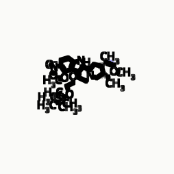 CC[C@@H]1CN2CC[C@@]3(OCCO[Si](C)(C)C(C)(C)C)C(=Nc4ccc([N+](=O)[O-])c(OC)c43)[C@@H]2C[C@@H]1/C(C)=C\OC